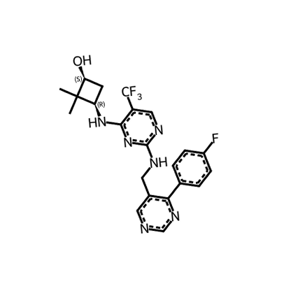 CC1(C)[C@@H](O)C[C@H]1Nc1nc(NCc2cncnc2-c2ccc(F)cc2)ncc1C(F)(F)F